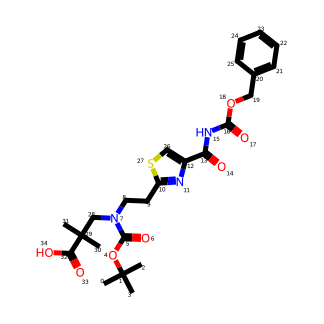 CC(C)(C)OC(=O)N(CCc1nc(C(=O)NC(=O)OCc2ccccc2)cs1)CC(C)(C)C(=O)O